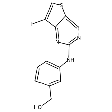 OCc1cccc(Nc2ncc3scc(I)c3n2)c1